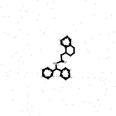 O=C(CC1CCCc2ccccc21)NC(c1ccccc1)c1ccccc1